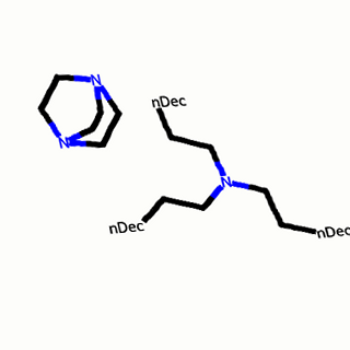 C1CN2CCN1CC2.CCCCCCCCCCCCN(CCCCCCCCCCCC)CCCCCCCCCCCC